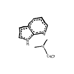 CN(C)C=O.c1cnc2[nH]ccc2c1